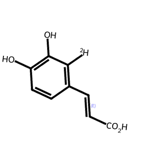 [2H]c1c(/C=C/C(=O)O)ccc(O)c1O